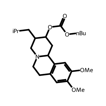 CCCCOC(=O)OC1CC2c3cc(OC)c(OC)cc3CCN2CC1CC(C)C